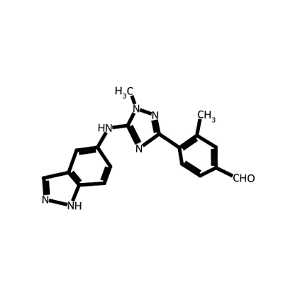 Cc1cc(C=O)ccc1-c1nc(Nc2ccc3[nH]ncc3c2)n(C)n1